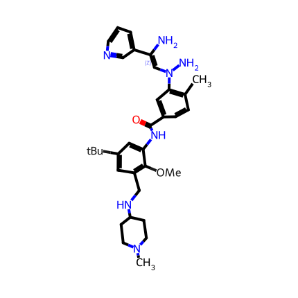 COc1c(CNC2CCN(C)CC2)cc(C(C)(C)C)cc1NC(=O)c1ccc(C)c(N(N)/C=C(\N)c2cccnc2)c1